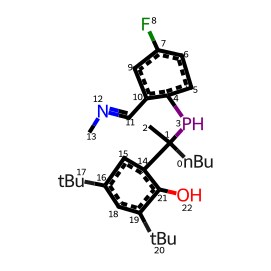 CCCCC(C)(Pc1ccc(F)cc1/C=N/C)c1cc(C(C)(C)C)cc(C(C)(C)C)c1O